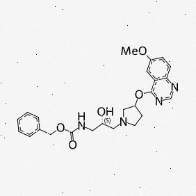 COc1ccc2ncnc(OC3CCN(C[C@@H](O)CNC(=O)OCc4ccccc4)C3)c2c1